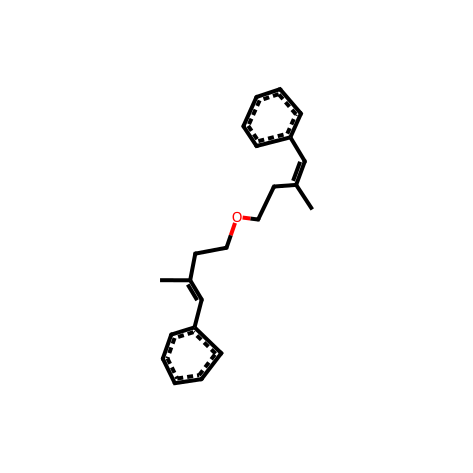 CC(=Cc1ccccc1)CCOCCC(C)=Cc1ccccc1